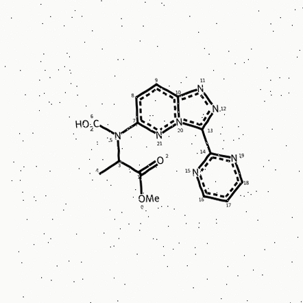 COC(=O)C(C)N(C(=O)O)c1ccc2nnc(-c3ncccn3)n2n1